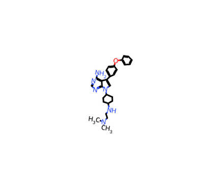 CN(C)CCNC1CCC(n2cc(-c3ccc(Oc4ccccc4)cc3)c3c(N)ncnc32)CC1